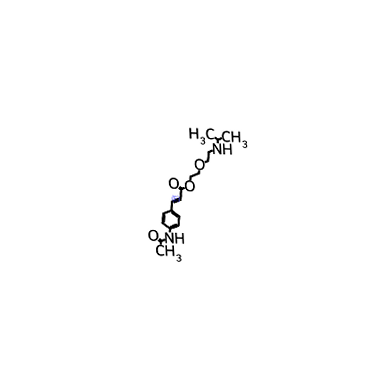 CC(=O)Nc1ccc(/C=C/C(=O)OCCOCCNC(C)C)cc1